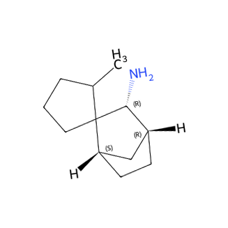 CC1CCCC12[C@H]1CC[C@H](C1)[C@H]2N